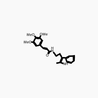 COc1cc(/C=C/C(=O)NCCc2c(C)[nH]c3ccccc23)cc(OC)c1OC